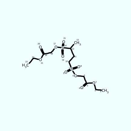 CCOC(=O)COS(=O)(=O)CCC(C)S(=O)(=O)OCC(=O)OCC